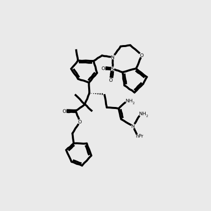 CCCN(N)/C=C(\N)CC[C@@H](c1ccc(C)c(CN2CCOc3ccccc3S2(=O)=O)c1)C(C)(C)C(=O)OCc1ccccc1